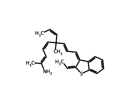 C/C=C\C(C)(/C=C\C=C(/C)N)/C=C/C=c1\c(=C/C)sc2ccccc12